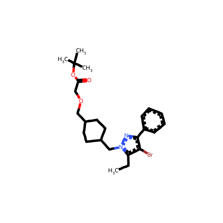 CCc1c(Br)c(-c2ccccc2)nn1CC1CCC(COCC(=O)OC(C)(C)C)CC1